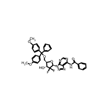 COc1ccc(C(OC[C@H]2O[C@@H](n3nnc4c(NC(=O)c5ccccc5)ncnc43)C(F)(F)[C@@H]2O)(c2ccccc2)c2ccc(OC)cc2)cc1